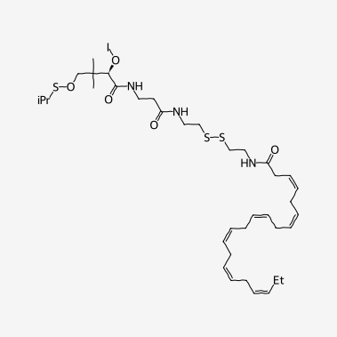 CC/C=C\C/C=C\C/C=C\C/C=C\C/C=C\C/C=C\CC(=O)NCCSSCCNC(=O)CCNC(=O)[C@H](OI)C(C)(C)COSC(C)C